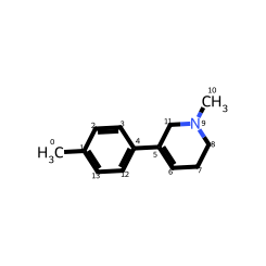 Cc1ccc(C2=CCCN(C)C2)cc1